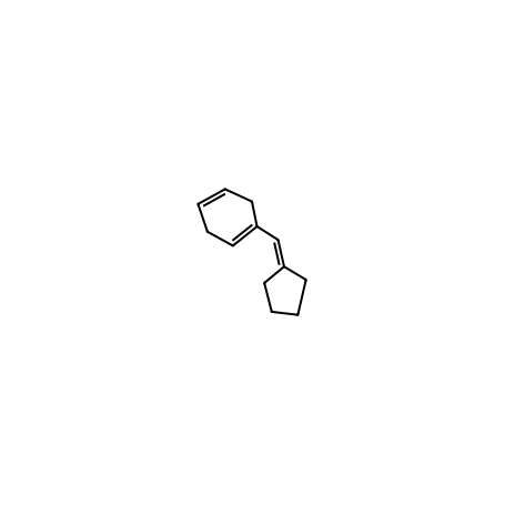 C1=CCC(C=C2CCCC2)=CC1